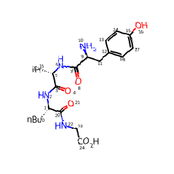 CCCC[C@H](NC(=O)[C@@H](NC(=O)[C@@H](N)Cc1ccc(O)cc1)C(C)C)C(=O)NCC(=O)O